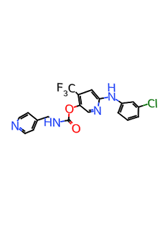 O=C(NCc1ccncc1)Oc1cnc(Nc2cccc(Cl)c2)cc1C(F)(F)F